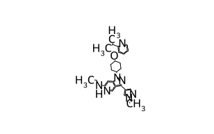 CCNc1cc2c(cn1)c(-c1cnn(C)c1)nn2[C@H]1CC[C@@H](Oc2cccnc2C(C)C)CC1